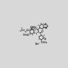 COc1ccc(C(=O)C(Cc2cc(OC)c(OCC3CC3)c(OC)c2)=C(C(=O)[O-])c2ccc3nsnc3c2)cc1F.[Na+]